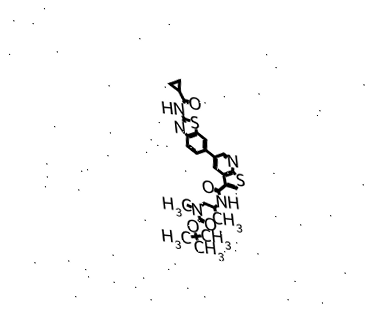 CC(CN(C)C(=O)OC(C)(C)C)NC(=O)c1csc2ncc(-c3ccc4nc(NC(=O)C5CC5)sc4c3)cc12